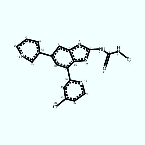 CCNC(=O)Nc1nc2cc(-c3cccnc3)cc(-c3cc(Cl)ccn3)c2s1